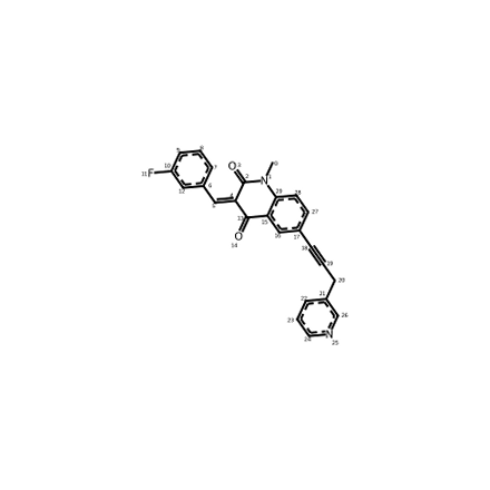 CN1C(=O)/C(=C\c2cccc(F)c2)C(=O)c2cc(C#CCc3cccnc3)ccc21